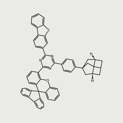 c1ccc2c(c1)Oc1c(-c3nc(-c4ccc(C56C[C@H]7CC8C[C@@H](C5)C87C6)cc4)nc(-c4ccc5c(c4)sc4ccccc45)n3)cccc1C21c2ccccc2-c2ccccc21